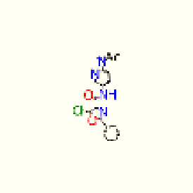 CC(=O)N(C)c1ccc(NC(=O)c2nc(-c3ccccc3)oc2Cl)cn1